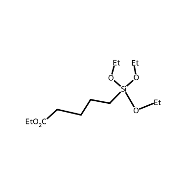 CCOC(=O)CCCC[Si](OCC)(OCC)OCC